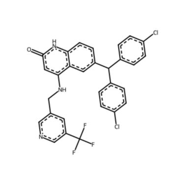 O=c1cc(NCc2cncc(C(F)(F)F)c2)c2cc(C(c3ccc(Cl)cc3)c3ccc(Cl)cc3)ccc2[nH]1